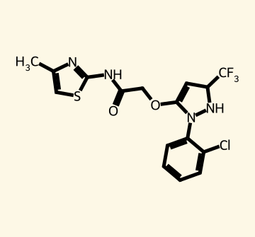 Cc1csc(NC(=O)COC2=CC(C(F)(F)F)NN2c2ccccc2Cl)n1